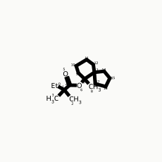 CCC(C)(C)C(=O)OC1(C)CCCCC12CCCC2